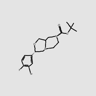 CC(C)(C)OC(=O)N1CCN2C[C@H](c3ccc(F)c(Br)c3)OCC2C1